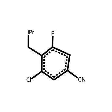 CC(C)Cc1c(F)cc(C#N)cc1Cl